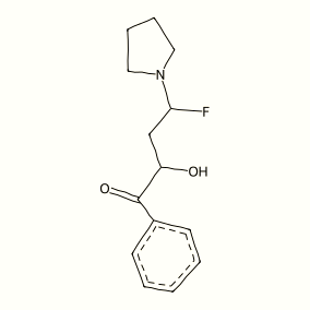 O=C(c1ccccc1)C(O)CC(F)N1CCCC1